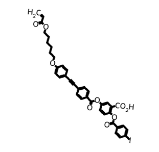 C=CC(=O)OCCCCCCOc1ccc(C#Cc2ccc(C(=O)Oc3ccc(OC(=O)c4ccc(I)cc4)c(C(=O)O)c3)cc2)cc1